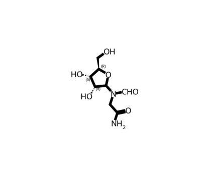 NC(=O)CN(C=O)C1O[C@H](CO)[C@@H](O)[C@H]1O